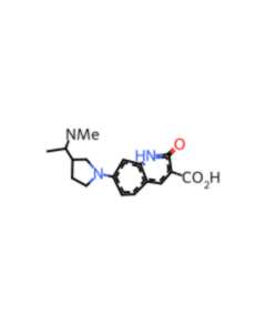 CNC(C)C1CCN(c2ccc3cc(C(=O)O)c(=O)[nH]c3c2)C1